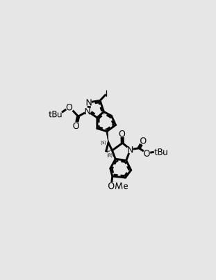 COc1ccc2c(c1)[C@]1(C[C@H]1c1ccc3c(I)nn(C(=O)OC(C)(C)C)c3c1)C(=O)N2C(=O)OC(C)(C)C